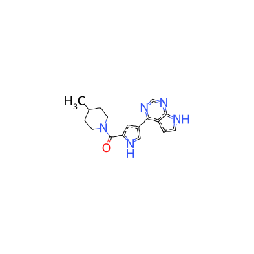 CC1CCN(C(=O)c2cc(-c3ncnc4[nH]ccc34)c[nH]2)CC1